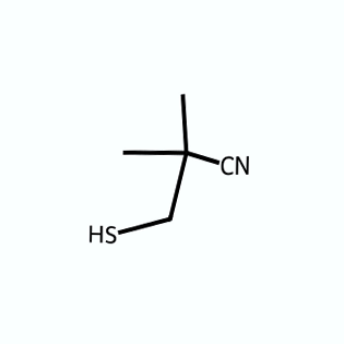 CC(C)(C#N)CS